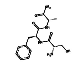 C[C@H](NC(=O)[C@H](Cc1ccccc1)NC(=O)[C@@H](N)CO)C(N)=O